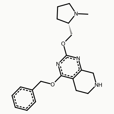 CN1CCC[C@H]1COc1nc2c(c(OCc3ccccc3)n1)CCNC2